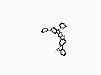 c1ccc(-c2ccc3c(c2)c2cc4c(cc2n3-c2ccccc2)sc2cc3c(cc24)[nH]c2ccccc23)cc1